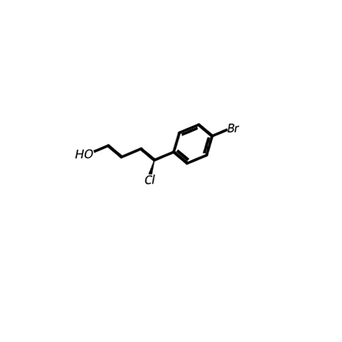 OCCC[C@H](Cl)c1ccc(Br)cc1